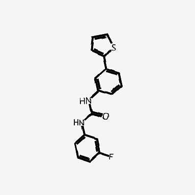 O=C(Nc1cccc(F)c1)Nc1cccc(-c2cccs2)c1